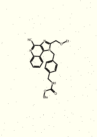 CCOCc1nc2c(C#N)nc3ccccc3c2n1Cc1ccc(CNC(=O)OC(C)(C)C)cc1